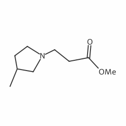 COC(=O)CCN1CCC(C)C1